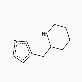 [c]1occc1CC1CCCCN1